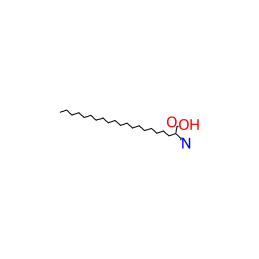 CCCCCCCCCCCCCCCCCCCC(C#N)C(=O)O